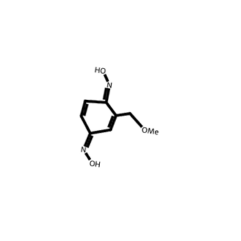 COCC1=CC(=N\O)/C=CC/1=N\O